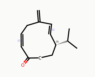 C=C1/C=C/[C@H](C(C)C)CCC(=O)/C=C\C1